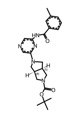 Cc1cccc(C(=O)Nc2cncc(N3C[C@H]4CN(C(=O)OC(C)(C)C)C[C@H]4C3)n2)c1